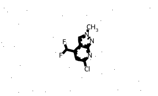 Cn1cc2c(C(F)F)cc(Cl)nc2n1